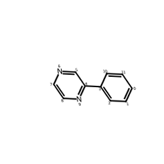 c1ccc(-c2cnccn2)cc1